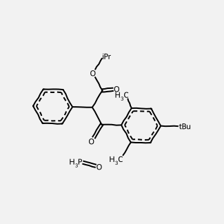 Cc1cc(C(C)(C)C)cc(C)c1C(=O)C(C(=O)OC(C)C)c1ccccc1.O=[PH3]